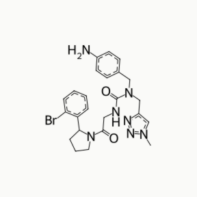 Cn1cc(CN(Cc2ccc(N)cc2)C(=O)NCC(=O)N2CCCC2c2ccccc2Br)nn1